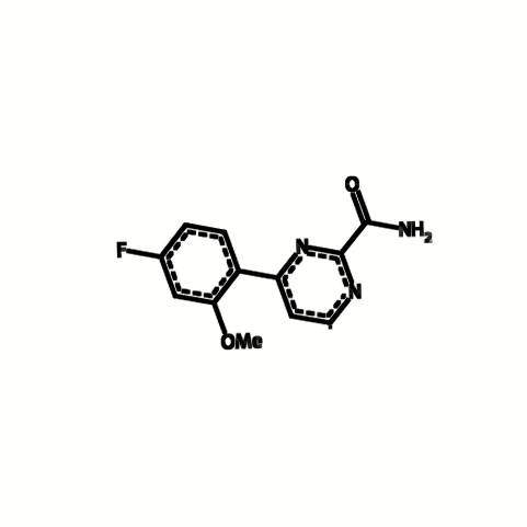 COc1cc(F)ccc1-c1c[c]nc(C(N)=O)n1